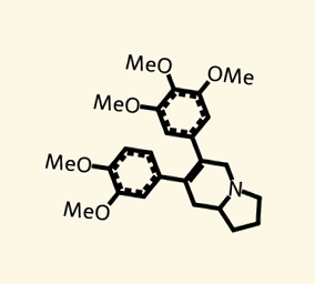 COc1ccc(C2=C(c3cc(OC)c(OC)c(OC)c3)CN3CCCC3C2)cc1OC